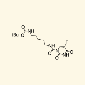 CC(C)(C)OC(=O)NCCCCCNC(=O)n1cc(F)c(=O)[nH]c1=O